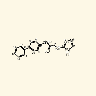 O=C(CSc1nnc[nH]1)Nc1ccc(-c2ccccc2)cc1